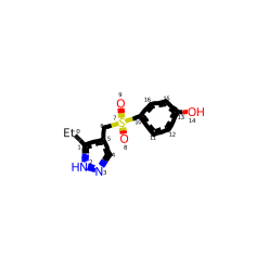 CCc1[nH]ncc1CS(=O)(=O)c1ccc(O)cc1